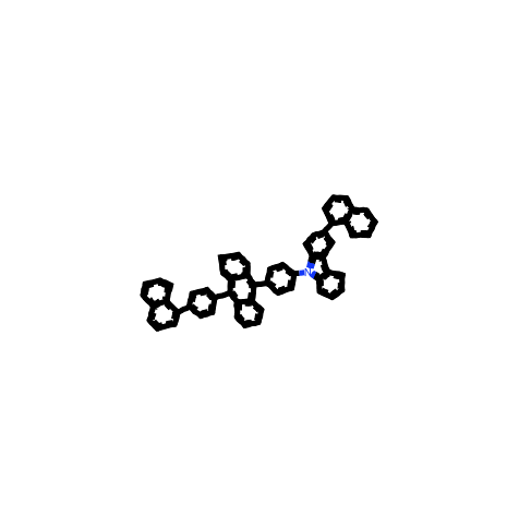 c1ccc2c(-c3ccc(-c4c5ccccc5c(-c5ccc(-n6c7ccccc7c7cc(-c8cccc9ccccc89)ccc76)cc5)c5ccccc45)cc3)cccc2c1